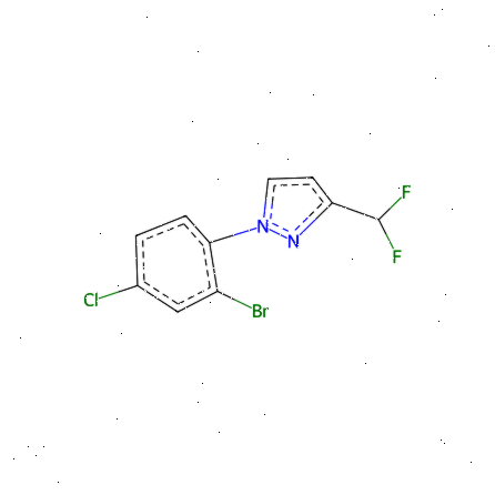 FC(F)c1ccn(-c2ccc(Cl)cc2Br)n1